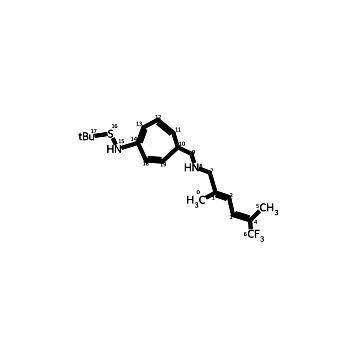 C/C(=C\C=C(/C)C(F)(F)F)CNCC1C=CC=C(NSC(C)(C)C)C=C1